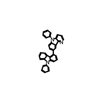 c1ccc(-n2c3ccc(-c4cccc5c4c4ccccc4n5-c4ccccc4)cc3c3ncccc32)cc1